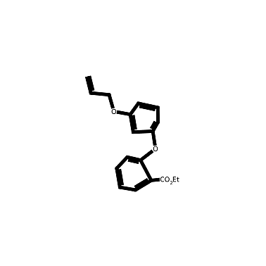 C=CCOc1cccc(Oc2ccccc2C(=O)OCC)c1